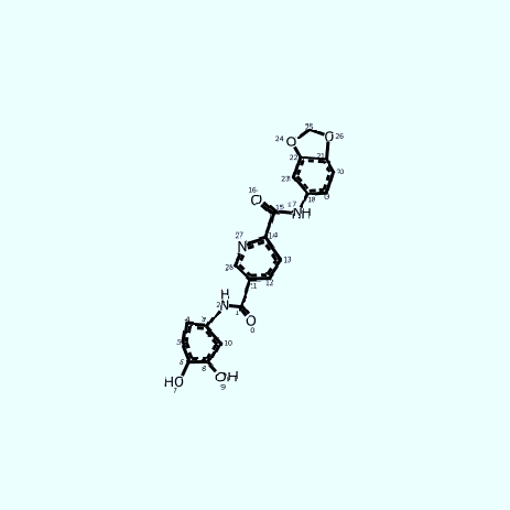 O=C(Nc1ccc(O)c(O)c1)c1ccc(C(=O)Nc2ccc3c(c2)OCO3)nc1